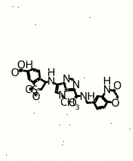 Cn1cc(NC2CS(=O)(=O)c3cc(C(=O)O)ccc32)c2ncnc(C(=O)NCc3ccc4c(c3)NC(=O)CO4)c21